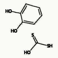 OC(=S)S.Oc1ccccc1O